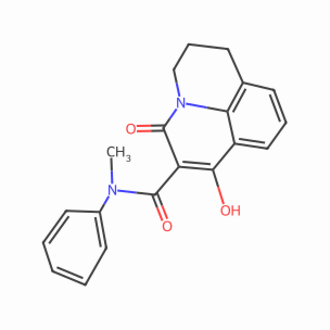 CN(C(=O)c1c(O)c2cccc3c2n(c1=O)CCC3)c1ccccc1